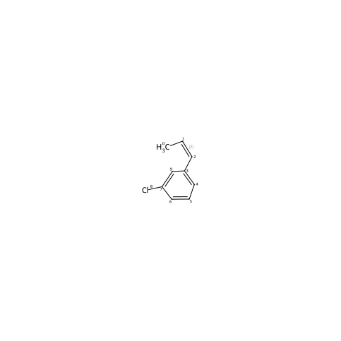 C/C=C\c1cccc(Cl)c1